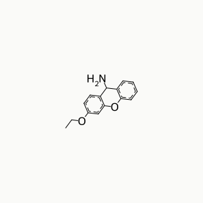 CCOc1ccc2c(c1)Oc1ccccc1C2N